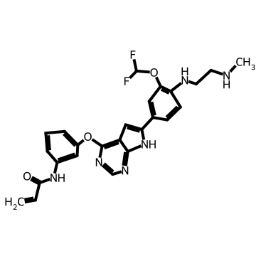 C=CC(=O)Nc1cccc(Oc2ncnc3[nH]c(-c4ccc(NCCNC)c(OC(F)F)c4)cc23)c1